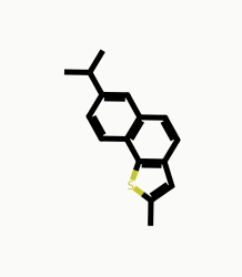 Cc1cc2ccc3cc(C(C)C)ccc3c2s1